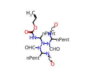 C=CCOC(=O)NC(CCCCC)N(N(C=O)C(CCCCC)N=C=O)N(C=O)C(CCCCC)N=C=O